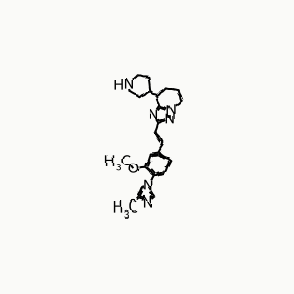 COc1cc(/C=C/c2nc3n(n2)CCCC3C2CCNCC2)ccc1-n1cnc(C)c1